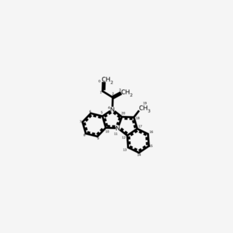 C=CC(=C)n1c2ccccc2n2c3ccccc3c(C)c12